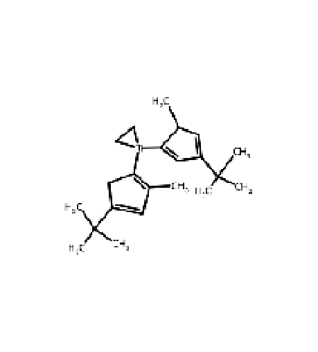 CC1=[C]([Ti]2([C]3=CC(C(C)(C)C)=CC3C)[CH2][CH2]2)CC(C(C)(C)C)=C1